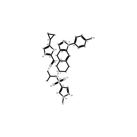 CC(C)N([C@H]1CCC2=Cc3c(cnn3-c3ccc(F)cc3)C[C@]2(C(=O)c2ncc(C3CC3)s2)C1)S(=O)(=O)c1cnn(C)c1